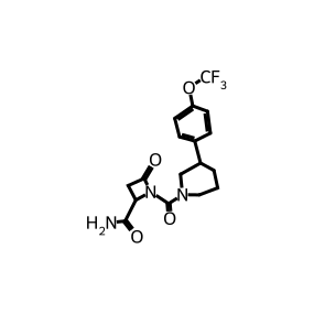 NC(=O)C1CC(=O)N1C(=O)N1CCCC(c2ccc(OC(F)(F)F)cc2)C1